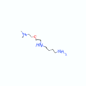 CN(C)CCOCCNCCCCN